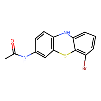 CC(=O)Nc1ccc2c(c1)Sc1c(Br)cccc1N2